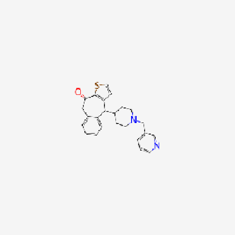 O=C1Cc2ccccc2C(C2CCN(Cc3cccnc3)CC2)c2ccsc21